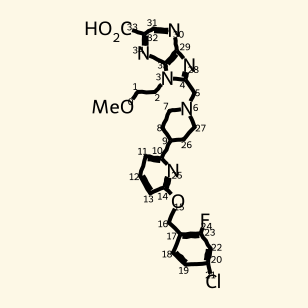 COCCn1c(CN2CCC(c3cccc(OCc4ccc(Cl)cc4F)n3)CC2)nc2ncc(C(=O)O)nc21